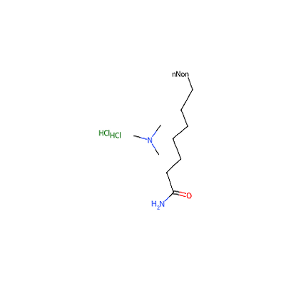 CCCCCCCCCCCCCCCC(N)=O.CN(C)C.Cl.Cl